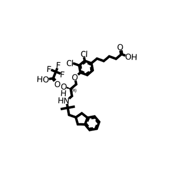 CC(C)(CC1Cc2ccccc2C1)NC[C@@H](O)COc1ccc(CCCCC(=O)O)c(Cl)c1Cl.O=C(O)C(F)(F)F